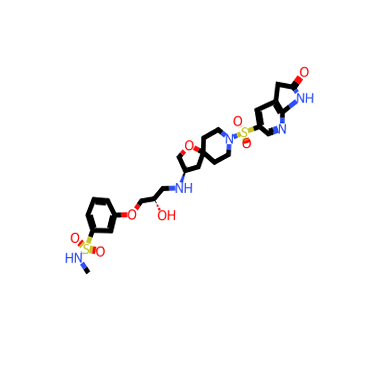 CNS(=O)(=O)c1cccc(OC[C@@H](O)CN[C@H]2COC3(CCN(S(=O)(=O)c4cnc5c(c4)CC(=O)N5)CC3)C2)c1